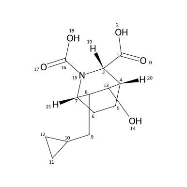 O=C(O)[C@@H]1[C@@H]2CC[C@@H](C(CC3CC3)C2O)N1C(=O)O